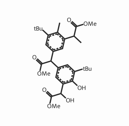 COC(=O)C(C)c1cc(C(C(=O)OC)c2cc(C(O)C(=O)OC)c(O)c(C(C)(C)C)c2)cc(C(C)(C)C)c1C